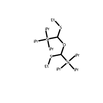 CCSC(OC(SCC)[Si](C(C)C)(C(C)C)C(C)C)[Si](C(C)C)(C(C)C)C(C)C